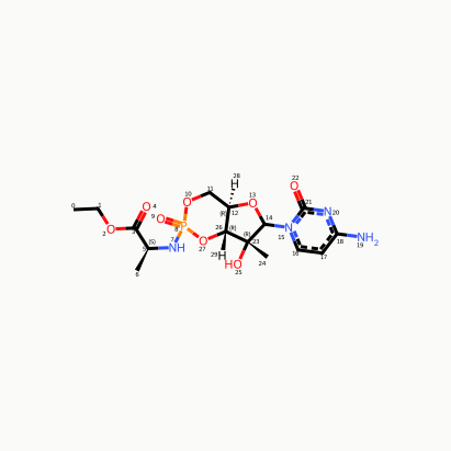 CCOC(=O)[C@H](C)NP1(=O)OC[C@H]2OC(n3ccc(N)nc3=O)[C@](C)(O)[C@@H]2O1